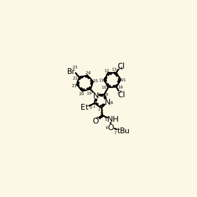 CCc1c(C(=O)NOC(C)(C)C)nc(-c2ccc(Cl)cc2Cl)n1-c1ccc(Br)cc1